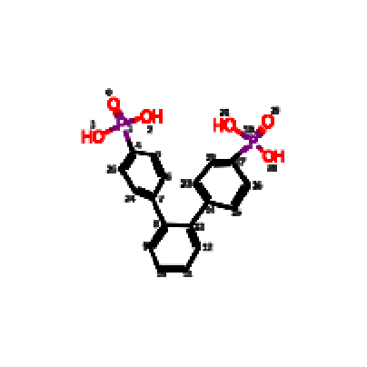 O=P(O)(O)c1ccc(-c2ccccc2-c2ccc(P(=O)(O)O)cc2)cc1